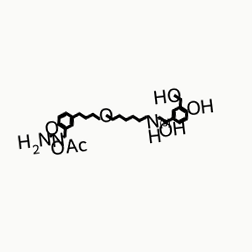 CC(=O)ON(Cc1cccc(CCCCOCCCCCCNC[C@@H](O)c2ccc(O)c(CO)c2)c1)C(N)=O